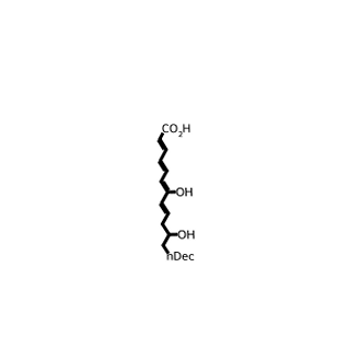 CCCCCCCCCCCC(O)CC=CC(O)=CC=CC=CC(=O)O